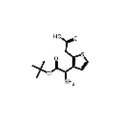 CC(C)(C)OC(=O)C(N)c1ccsc1CC(=O)O